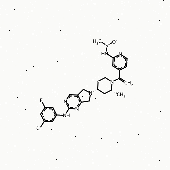 C=C(c1ccnc(N[S+](C)[O-])c1)N1CC[C@@H](N2Cc3cnc(Nc4cc(F)cc(Cl)c4)nc3C2)C[C@H]1C